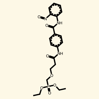 CCOP(=O)(COCCC(=O)Nc1ccc(C(=O)Nc2ccccc2N=O)cc1)OCC